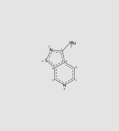 CC(C)(C)c1nsc2cnccc12